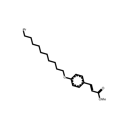 COC(=O)C=Cc1ccc(OCCCCCCCCCCC(C)C)cc1